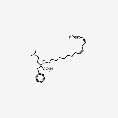 CCCCC/C=C\C/C=C\CCCCCCCCOC(CCN(C)C)(Cc1ccccc1)C(=O)O